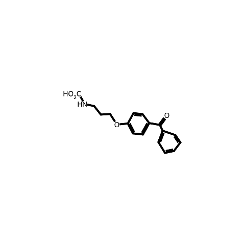 O=C(O)NCCCOc1ccc(C(=O)c2ccccc2)cc1